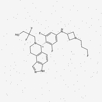 OCC(F)(F)CN1CCc2c(ccc3[nH]ncc23)[C@H]1c1c(F)cc(NC2CN(CCCF)C2)cc1F